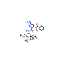 CC1(C)CC(NC(=O)c2nn(N)cc2NC(=O)c2c(F)cccc2F)CC(C)(C)N1